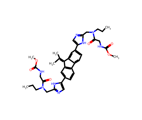 CCCN(Cc1ncc(-c2ccc3c(c2)C(=C(C)C)c2cc(-c4cnc(CN(CCC)C(=O)CNC(=O)OC)[nH]4)ccc2-3)[nH]1)C(=O)CNC(=O)OC